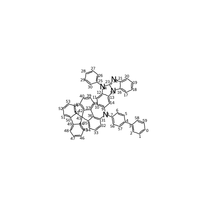 c1ccc(-c2ccc(N(c3ccc4c(c3)n3c5ccccc5nc3n4-c3ccccc3)c3cccc4c3-c3ccccc3C43c4ccccc4-c4ccccc43)cc2)cc1